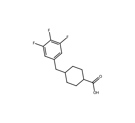 O=C(O)C1CCC(Cc2cc(F)c(F)c(F)c2)CC1